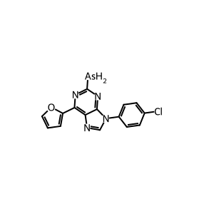 Clc1ccc(-n2cnc3c(-c4ccco4)nc([AsH2])nc32)cc1